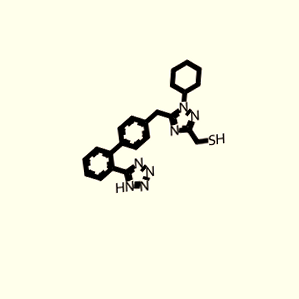 SCc1nc(Cc2ccc(-c3ccccc3-c3nnn[nH]3)cc2)n(C2CCCCC2)n1